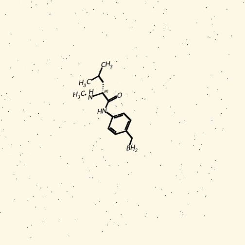 BCc1ccc(NC(=O)[C@@H](CC(C)C)NC)cc1